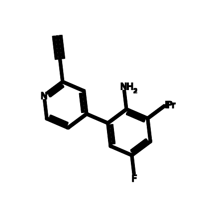 C#Cc1cc(-c2cc(F)cc(C(C)C)c2N)ccn1